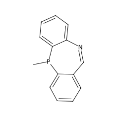 CP1c2ccccc2C=Nc2ccccc21